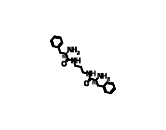 N[C@@H](Cc1ccccc1)C(=O)NCCCNC(=O)[C@@H](N)Cc1ccccc1